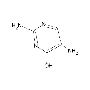 Nc1ncc(N)c(O)n1